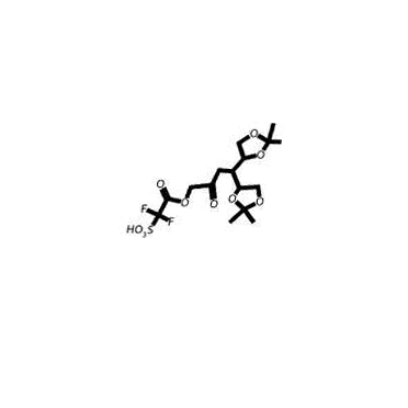 CC1(C)OCC(C(CC(=O)COC(=O)C(F)(F)S(=O)(=O)O)C2COC(C)(C)O2)O1